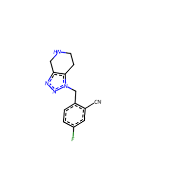 N#Cc1cc(F)ccc1Cn1nnc2c1CCNC2